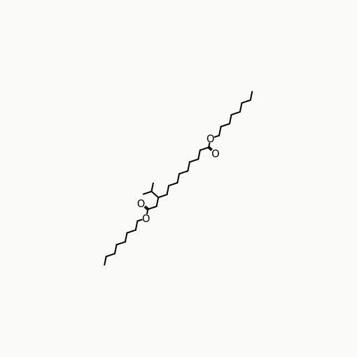 CCCCCCCCOC(=O)CCCCCCCCC(CC(=O)OCCCCCCCC)C(C)C